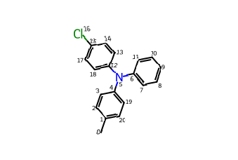 Cc1ccc(N(c2ccccc2)c2ccc(Cl)cc2)cc1